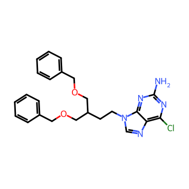 Nc1nc(Cl)c2ncn(CCC(COCc3ccccc3)COCc3ccccc3)c2n1